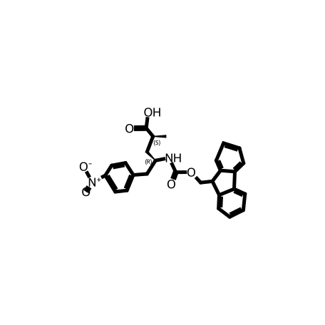 C[C@@H](C[C@H](Cc1ccc([N+](=O)[O-])cc1)NC(=O)OCC1c2ccccc2-c2ccccc21)C(=O)O